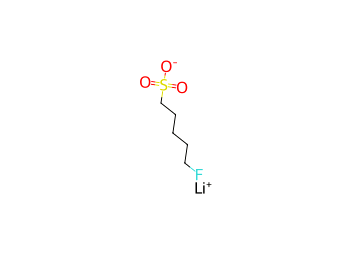 O=S(=O)([O-])CCCCCF.[Li+]